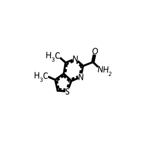 Cc1csc2nc(C(N)=O)nc(C)c12